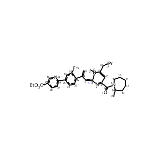 C=C(/C=C1/N=C(C(=O)N2CCCCCC2C)C=C(CC(C)C)N1C)c1ccc(-c2ccc(C(=O)OCC)cn2)cc1F